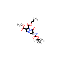 C=CCOC(=O)C1=C(C(=O)OC)CN2C[C@@H](NC(=O)OC(C)(C)C)C(=O)N12